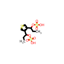 CCC(OS(=O)(=O)O)c1cscc1C(CC)OS(=O)(=O)O